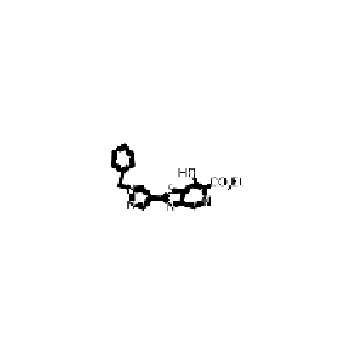 CCOC(=O)c1ncc2nc(-c3cnn(Cc4ccccc4)c3)sc2c1O